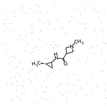 C[C@@H]1CC1NC(=O)C1CN(C)C1